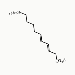 CCCCCCCCCCC/C=C/C=C/CC(=O)O